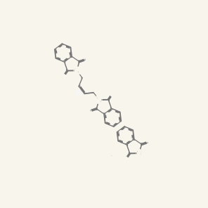 O=C1[N-]C(=O)c2ccccc21.O=C1c2ccccc2C(=O)N1C/C=C\CN1C(=O)c2ccccc2C1=O.[K+]